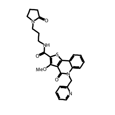 COc1c(C(=O)NCCCN2CCCC2=O)sc2c1c(=O)n(Cc1ccccn1)c1ccccc21